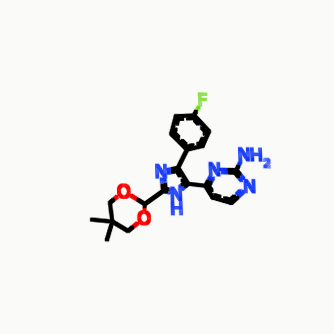 CC1(C)COC(c2nc(-c3ccc(F)cc3)c(-c3ccnc(N)n3)[nH]2)OC1